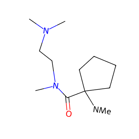 CNC1(C(=O)N(C)CCN(C)C)CCCC1